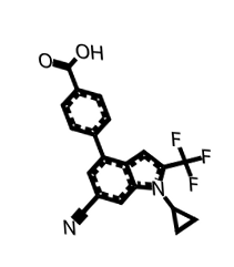 N#Cc1cc(-c2ccc(C(=O)O)cc2)c2cc(C(F)(F)F)n(C3CC3)c2c1